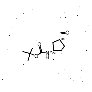 CC(C)(C)OC(=O)N[C@H]1CC[C@@H](C=O)C1